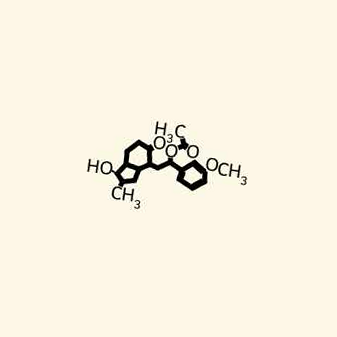 COc1cccc(C(CC2C(=O)CCC3C2CC(C)[C@@H]3O)OC(C)=O)c1